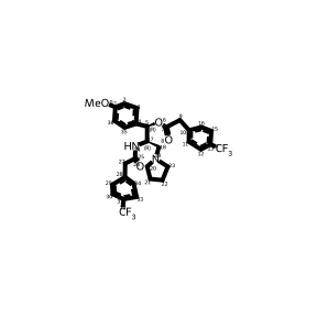 COc1ccc([C@@H](OC(=O)Cc2ccc(C(F)(F)F)cc2)[C@@H](CN2CCCC2)NC(=O)Cc2ccc(C(F)(F)F)cc2)cc1